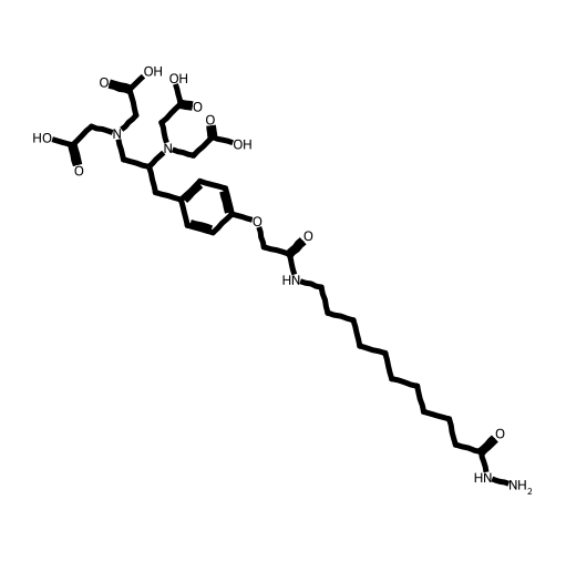 NNC(=O)CCCCCCCCCCNC(=O)COc1ccc(CC(CN(CC(=O)O)CC(=O)O)N(CC(=O)O)CC(=O)O)cc1